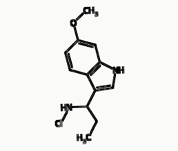 CCC(NCl)c1c[nH]c2cc(OC)ccc12